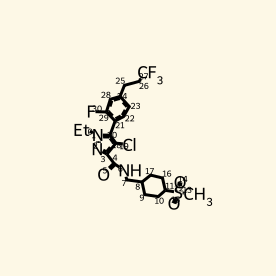 CCn1nc(C(=O)NCC2CCC(S(C)(=O)=O)CC2)c(Cl)c1-c1ccc(CCC(F)(F)F)cc1F